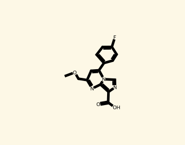 COCc1cc(-c2ccc(F)cc2)n2cnc(C(=O)O)c2n1